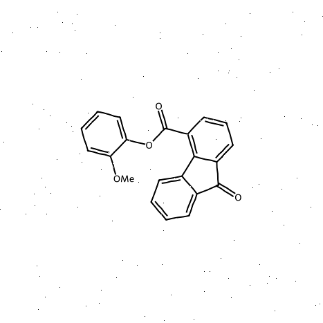 COc1ccccc1OC(=O)c1cccc2c1-c1ccccc1C2=O